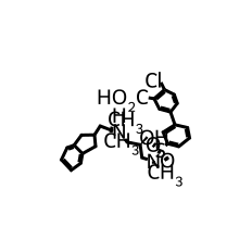 CN(C[C@H](O)CNC(C)(C)CC1Cc2ccccc2C1)S(=O)(=O)c1cccc(-c2ccc(Cl)c(C(=O)O)c2)c1